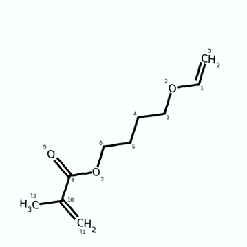 C=COCCCCOC(=O)C(=C)C